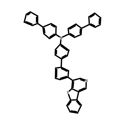 c1ccc(-c2ccc(N(c3ccc(-c4ccccc4)cc3)c3ccc(-c4cccc(-c5cncc6c5sc5ccccc56)c4)cc3)cc2)cc1